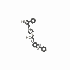 O[C@H](COc1ccc2sc(C3CCCCC3)nc2c1)CN1CCN(CCc2n[nH]cc2-c2ccccc2)CC1